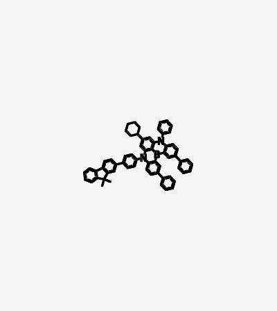 CC1(C)c2ccccc2-c2ccc(-c3ccc(N4c5ccc(-c6ccccc6)cc5B5c6cc(-c7ccccc7)ccc6N(c6ccccc6)c6cc(C7CCCCC7)cc4c65)cc3)cc21